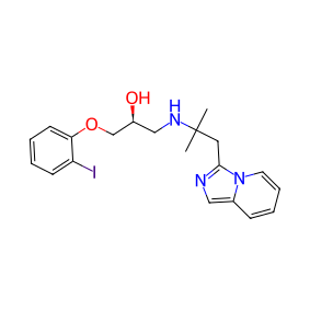 CC(C)(Cc1ncc2ccccn12)NC[C@H](O)COc1ccccc1I